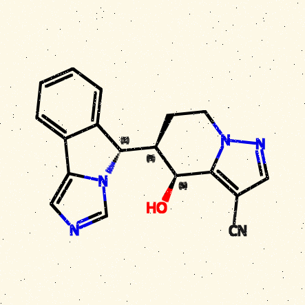 N#Cc1cnn2c1[C@@H](O)[C@@H]([C@H]1c3ccccc3-c3cncn31)CC2